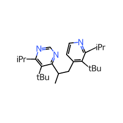 CC(C)c1nccc(CC(C)c2ncnc(C(C)C)c2C(C)(C)C)c1C(C)(C)C